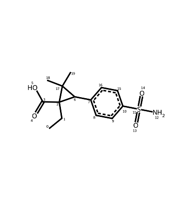 CCC1(C(=O)O)C(c2ccc(S(N)(=O)=O)cc2)C1(C)C